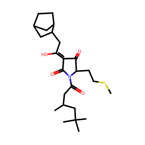 CSCCC1C(=O)/C(=C(/O)CC2CC3CCC2C3)C(=O)N1C(=O)CC(C)CC(C)(C)C